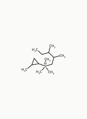 CCC(C)C(C)C[SH](C)(C)(C)C1CC1C